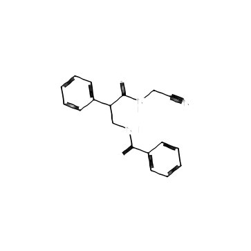 N#CCNC(=O)C(CNC(=O)c1ccccc1)c1ccccc1